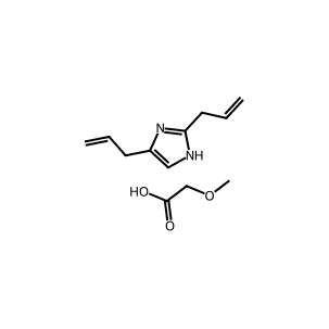 C=CCc1c[nH]c(CC=C)n1.COCC(=O)O